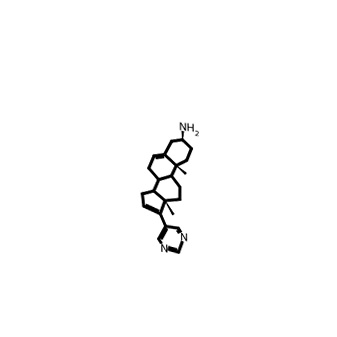 C[C@]12CC[C@H](N)CC1=CCC1C2CC[C@]2(C)C(c3cncnc3)=CCC12